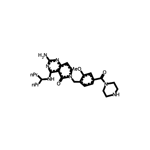 CCCC(CCC)Nc1nc(N)nc2ccn(Cc3ccc(C(=O)N4CCNCC4)cc3OC)c(=O)c12